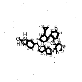 O=c1[nH]c2ccc(CN3CCC4(CCN(c5ncncc5Oc5ccc(F)cc5-c5ccccc5C5CC5)C4)C3)cc2[nH]1